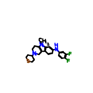 Cn1c2c(c3ccc(Nc4ccc(F)c(F)c4)cc31)CN(C1CCSCC1)CC2